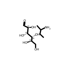 CCC(C)N.O=C[C@@H](O)[C@@H](O)[C@H](O)[C@H](O)CO